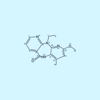 CCN1c2ncccc2C(=O)Nc2c(C)cc(OC)nc21